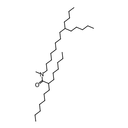 CCCCCCCC(CCCCCC)C(=O)N(C)CCCCCCCCC(CCCC)CCCCC